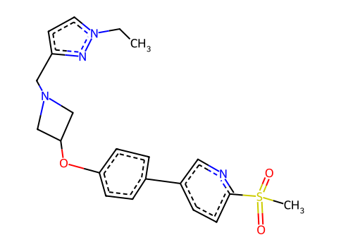 CCn1ccc(CN2CC(Oc3ccc(-c4ccc(S(C)(=O)=O)nc4)cc3)C2)n1